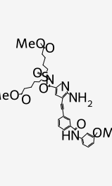 COC(=O)CCCCS(=O)(CCCCC(=O)OC)=NC(=O)c1cnc(N)c(C#Cc2cccc(C(=O)Nc3cccc(OC)c3)c2)c1